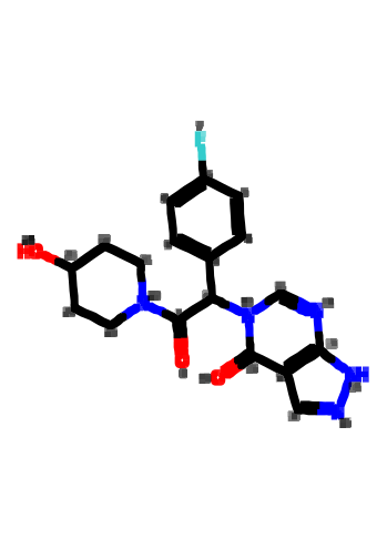 O=C(C(c1ccc(F)cc1)n1cnc2[nH]ncc2c1=O)N1CCC(O)CC1